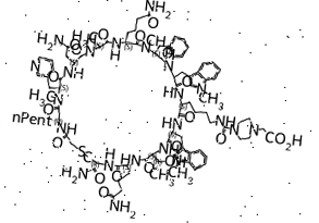 CCCCC[C@H]1NC(=O)CSC[C@@H](C(N)=O)NC(=O)[C@H](CCCC(N)=O)NC(=O)[C@H]([C@@H](C)O)NC(=O)[C@H](Cc2cn(C)c3ccccc23)NC(=O)[C@H](CCCCNC(=O)N2CCN(CC(=O)O)CC2)NC(=O)C(Cc2cn(C)c3ccccc23)NC(=O)[C@H](Cc2ccccc2)N(C)C(=O)[C@H](CCCC(N)=O)NC(=O)[C@H](C)NC(=O)[C@H](CC(N)=O)NC(=O)[C@H](Cc2cccnc2)N(C)C1=O